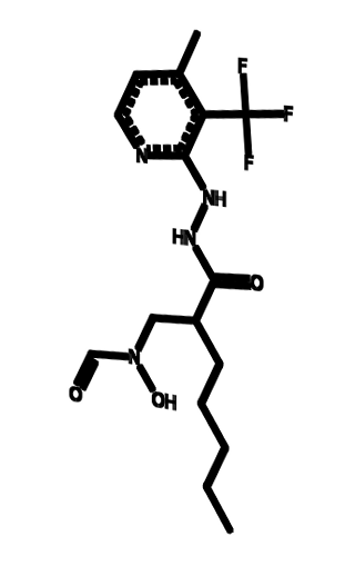 CCCCCC(CN(O)C=O)C(=O)NNc1nccc(C)c1C(F)(F)F